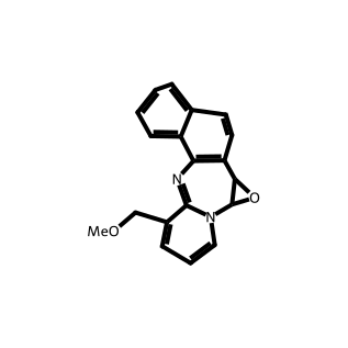 COCC1=CC=CN2C1=Nc1c(ccc3ccccc13)C1OC12